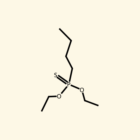 CCCCP(=S)(OCC)OCC